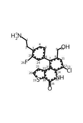 NCCc1ccc(-c2c(CO)cc(Cl)c3[nH]c(=O)c4sccc4c23)cc1F